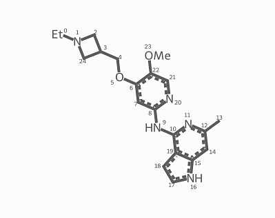 CCN1CC(COc2cc(Nc3nc(C)cc4[nH]ccc34)ncc2OC)C1